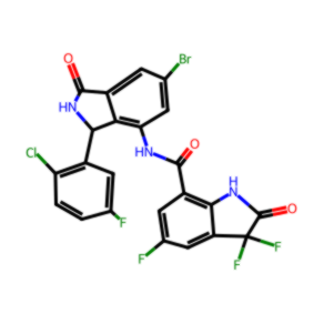 O=C(Nc1cc(Br)cc2c1C(c1cc(F)ccc1Cl)NC2=O)c1cc(F)cc2c1NC(=O)C2(F)F